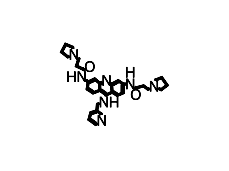 O=C(CCN1CCCC1)Nc1ccc2c(NCc3cccnc3)c3ccc(NC(=O)CCN4CCCC4)cc3nc2c1